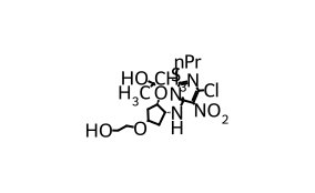 CCCSc1nc(Cl)c([N+](=O)[O-])c(N[C@@H]2C[C@H](OCCO)C[C@H]2OC(C)(C)O)n1